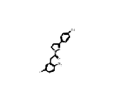 O=C(Cc1cc(Cl)ccc1C(F)(F)F)N1CCC(c2ccc(O)cc2)=N1